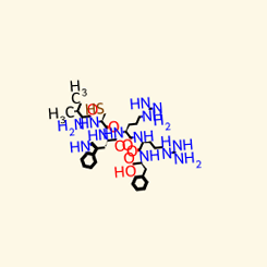 CC[C@H](C)[C@H](N)C(=O)N[C@@H](CS)C(=O)N[C@@H](Cc1c[nH]c2ccccc12)C(=O)N[C@@H](CCCNC(=N)N)C(=O)N[C@@H](CCCNC(=N)N)C(=O)N[C@@H](Cc1ccccc1)C(=O)O